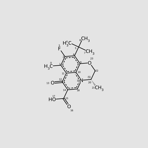 Cc1c(F)c(C(C)(C)C)c2c3c1c(=O)c(C(=O)O)cn3[C@@H](C)CO2